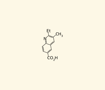 CCc1nc2ccc(C(=O)O)cc2cc1C